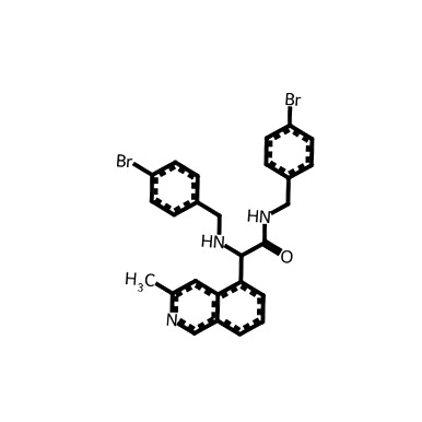 Cc1cc2c(C(NCc3ccc(Br)cc3)C(=O)NCc3ccc(Br)cc3)cccc2cn1